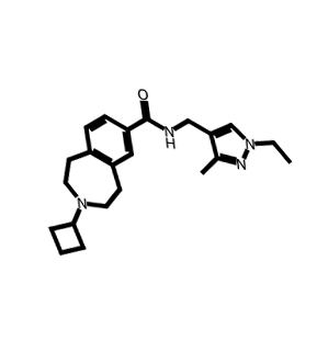 CCn1cc(CNC(=O)c2ccc3c(c2)CCN(C2CCC2)CC3)c(C)n1